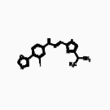 CC(N)c1csc(C=NNc2ccc(-c3cnco3)c(I)c2)n1